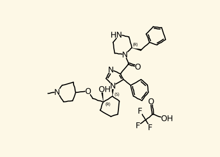 CN1CCC(OC[C@@]2(O)CCCC[C@@H]2n2cnc(C(=O)N3CCNC[C@H]3Cc3ccccc3)c2-c2ccccc2)CC1.O=C(O)C(F)(F)F